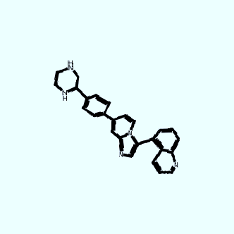 c1cc(-c2cnc3cc(-c4ccc(C5CNCCN5)cc4)ccn23)c2cccnc2c1